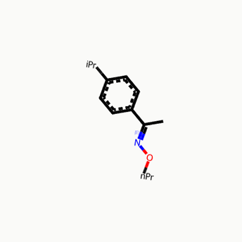 CCCO/N=C(\C)c1ccc(C(C)C)cc1